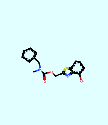 CN(Cc1ccccc1)C(=O)OCc1nc2c(O)cccc2s1